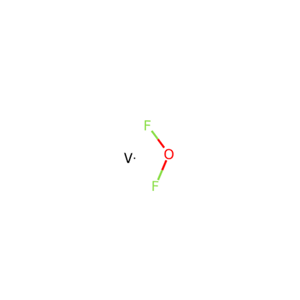 FOF.[V]